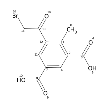 Cc1c(C(=O)O)cc(C(=O)O)cc1C(=O)CBr